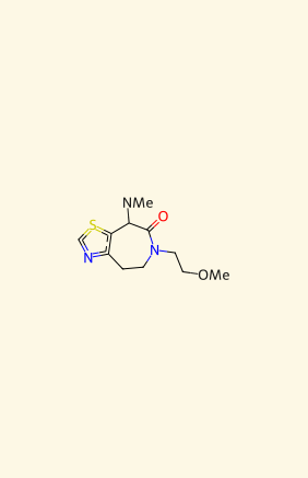 CNC1C(=O)N(CCOC)CCc2ncsc21